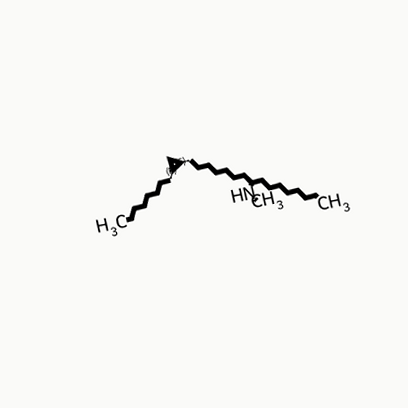 CCCCCCCCC(CCCCCCC[C@H]1C[C@H]1CCCCCCCC)NC